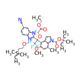 CCOC(=O)C(F)OC(c1c(OC)cc(C)c2c1ccn2C(=O)OC(C)(C)C)(c1nc2cc(C#N)ccc2n1COCC[Si](C)(C)C)C(F)(F)F